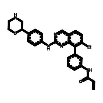 C=CC(=O)Nc1cccc(-c2c(CC)ccc3cnc(Nc4ccc(C5CNCCO5)cc4)nc23)c1